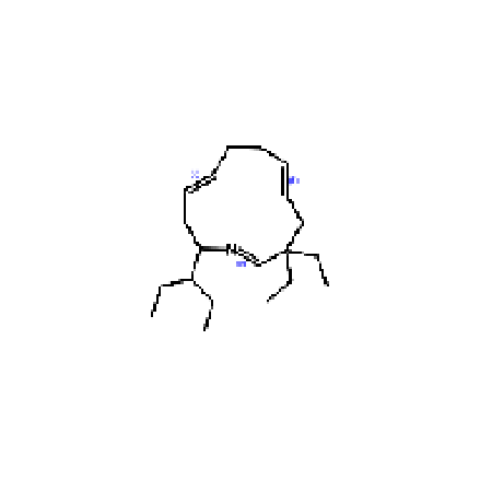 CCC(CC)C1C/C=C/CC/C=C/CC(CC)(CC)/C=N/1